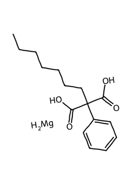 CCCCCCCC(C(=O)O)(C(=O)O)c1ccccc1.[MgH2]